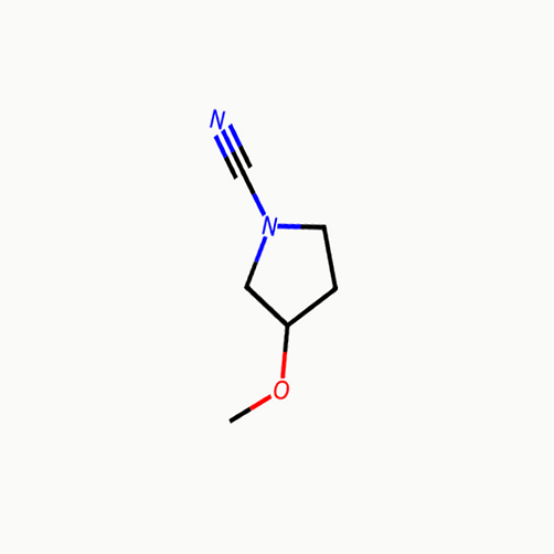 COC1CCN(C#N)C1